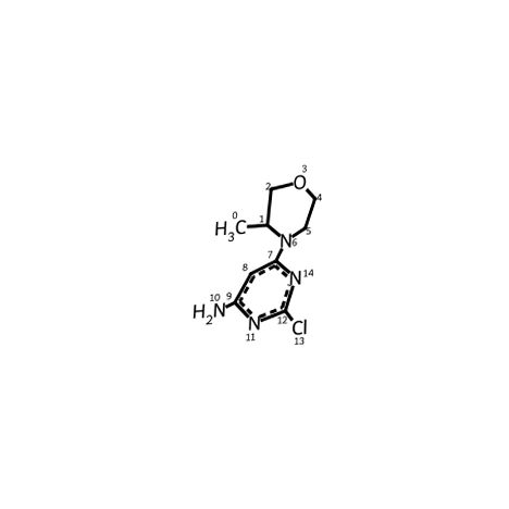 CC1COCCN1c1cc(N)nc(Cl)n1